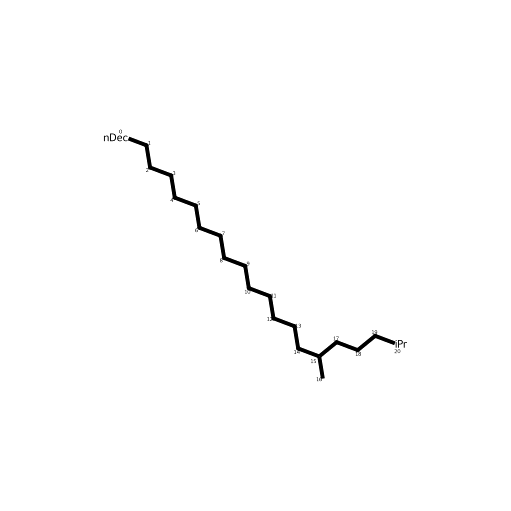 CCCCCCCCCCCCCCCCCCCCCCCCC(C)CCCC(C)C